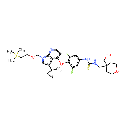 CS(C)(C)CCOCn1cc(C2(C(F)(F)F)CC2)c2c(Oc3c(F)cc(NC(=S)NCC4(CO)CCOCC4)cc3F)ccnc21